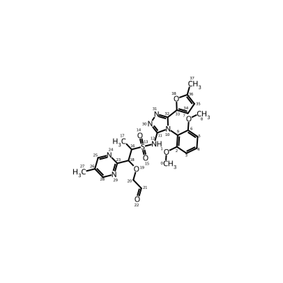 COc1cccc(OC)c1-n1c(NS(=O)(=O)C(C)C(OCC=O)c2ncc(C)cn2)nnc1-c1ccc(C)o1